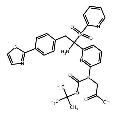 CC(C)(C)OC(=O)N(CC(=O)O)c1cccc(C(N)(Cc2ccc(-c3nccs3)cc2)S(=O)(=O)c2ccccn2)n1